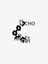 C=C(C=O)CNc1ccc(-c2cccc(C(C)C(=O)Nc3cc(CC)[nH]n3)c2)cc1